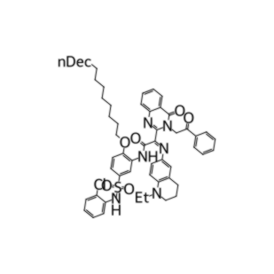 CCCCCCCCCCCCCCCCCCOc1ccc(S(=O)(=O)Nc2ccccc2Cl)cc1NC(=O)/C(=N\c1ccc2c(c1)CCCN2CC)c1nc2ccccc2c(=O)n1CC(=O)c1ccccc1